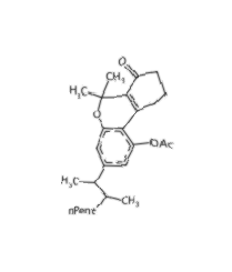 CCCCCC(C)C(C)c1cc(OC(C)=O)c2c(c1)OC(C)(C)C1=C2CCCC1=O